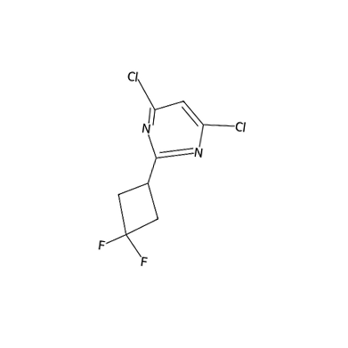 FC1(F)CC(c2nc(Cl)cc(Cl)n2)C1